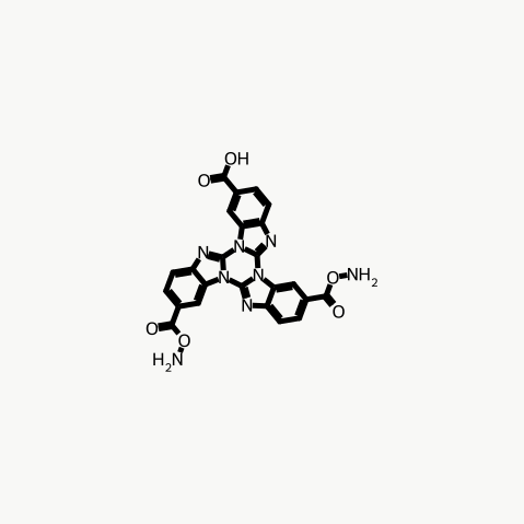 NOC(=O)c1ccc2nc3n4c5cc(C(=O)O)ccc5nc4n4c5cc(C(=O)ON)ccc5nc4n3c2c1